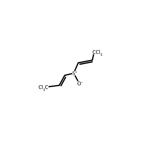 [O-][S+](C=CC(Cl)(Cl)Cl)C=CC(Cl)(Cl)Cl